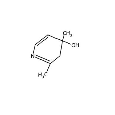 CC1=NC=CC(C)(O)C1